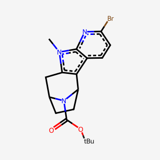 Cn1c2c(c3ccc(Br)nc31)C1CCC(C2)N1C(=O)OC(C)(C)C